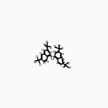 CC(C)(C)c1ccc2c(Oc3cc(C(C)(C)C)cc4cc(C(C)(C)C)ccc34)cc(C(C)(C)C)cc2c1